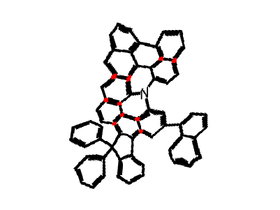 c1ccc(-c2ccc(-c3cccc4ccccc34)cc2N(c2ccccc2-c2ccc3c(c2)C(c2ccccc2)(c2ccccc2)c2ccccc2-3)c2ccccc2-c2cccc3cccc(-c4ccccc4)c23)cc1